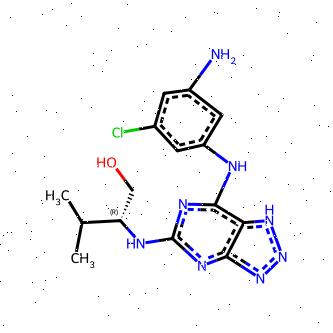 CC(C)[C@H](CO)Nc1nc(Nc2cc(N)cc(Cl)c2)c2[nH]nnc2n1